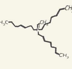 CCCCCCCC[PH](CC)(CCCCCCC)CCCCCCC